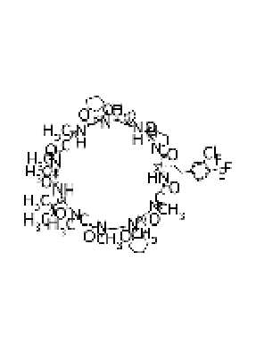 CC[C@H](C)[C@@H]1NC(=O)[C@H](C)N(C)C(=O)C[C@@H](C)NC(=O)[C@H](C2CCCC2)N(C)C(=O)C2(CCC2)NC(=O)[C@@H]2CCCN2C(=O)[C@H](CCc2ccc(C(F)(F)F)c(Cl)c2)NC(=O)CN(C)C(=O)[C@H](CC2CCCCC2)N(C)C(=O)CN(C)C(=O)CN(C)C1=O